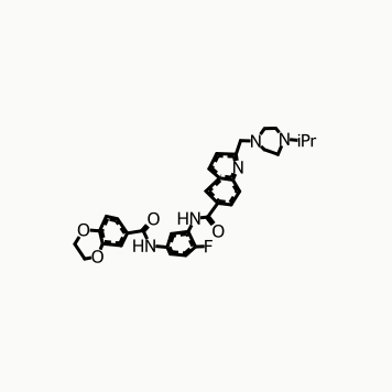 CC(C)N1CCN(Cc2ccc3cc(C(=O)Nc4cc(NC(=O)c5ccc6c(c5)OCCO6)ccc4F)ccc3n2)CC1